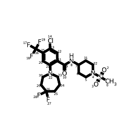 CS(=O)(=O)N1CCC(NC(=O)c2cc(Cl)c(C(F)(F)F)cc2N2CCCC(F)(F)CC2)CC1